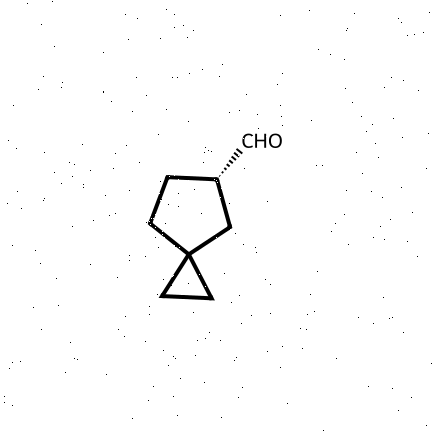 O=C[C@H]1CCC2(CC2)C1